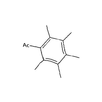 CC(=O)c1c(C)c(C)c(C)c(C)c1C